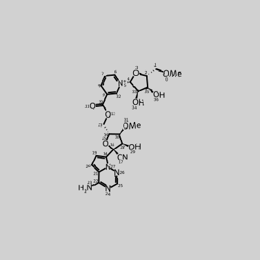 COC[C@H]1O[C@@H]([n+]2cccc(C(=O)OC[C@H]3O[C@@](C#N)(c4ccc5c(N)ncnn45)[C@H](O)[C@@H]3OC)c2)[C@H](O)[C@@H]1O